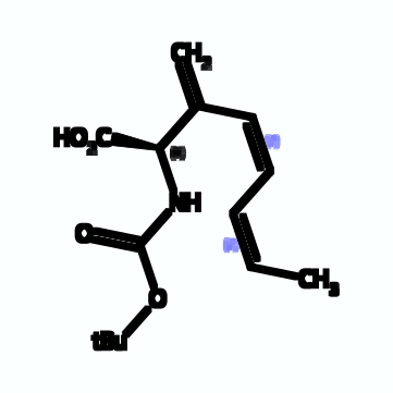 C=C(/C=C\C=C/C)[C@@H](NC(=O)OC(C)(C)C)C(=O)O